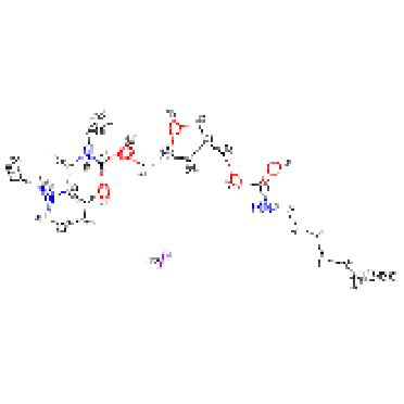 CCCCCCCCCCCCCCCNC(=O)OC[C@@H]1CO[C@@H](COC(=O)N(Cc2cccc[n+]2CC)C(C)=O)C1.[I-]